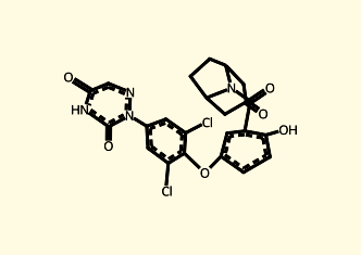 O=C1CC2CCC(C1)N2C(=O)c1cc(Oc2c(Cl)cc(-n3ncc(=O)[nH]c3=O)cc2Cl)ccc1O